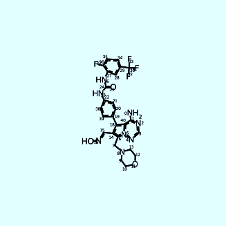 Nc1ncnn2c(CN3CCOCC3)c(/C=N/O)c(-c3ccc(NC(=O)Nc4cc(C(F)(F)F)ccc4F)cc3)c12